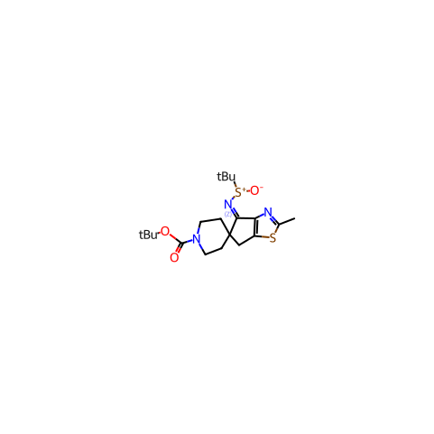 Cc1nc2c(s1)CC1(CCN(C(=O)OC(C)(C)C)CC1)/C2=N/[S+]([O-])C(C)(C)C